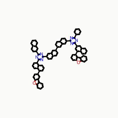 c1ccc(-c2nc(-c3ccc4ccc(-c5ccc6ccc(-c7nc(-c8ccc9ccccc9c8)nc(-c8cccc9c(-c%10ccc%11oc%12ccccc%12c%11c%10)cccc89)n7)cc6c5)cc4c3)nc(-c3cc(-c4cccc5oc6ccccc6c45)c4ccccc4c3)n2)cc1